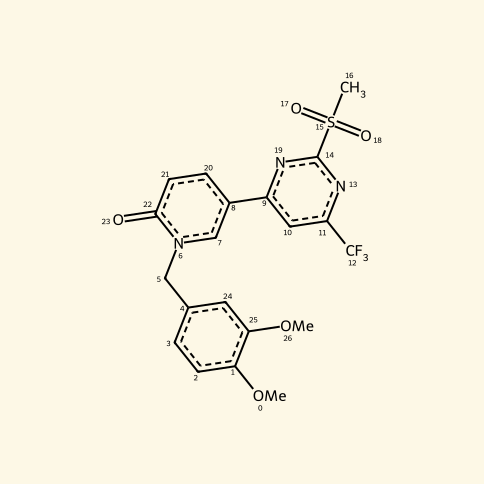 COc1ccc(Cn2cc(-c3cc(C(F)(F)F)nc(S(C)(=O)=O)n3)ccc2=O)cc1OC